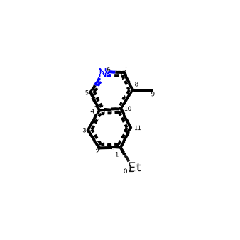 CCc1ccc2cncc(C)c2c1